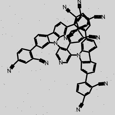 N#Cc1cccc(-c2c(-n3c4cc(-c5ccc(C#N)cc5C#N)ccc4c4ccc(-c5ccc(C#N)cc5C#N)cc43)cncc2-n2c3cc(-c4ccc(C#N)cc4C#N)ccc3c3ccc(-c4ccc(C#N)cc4C#N)cc32)c1